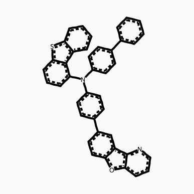 c1ccc(-c2ccc(N(c3ccc(-c4ccc5oc6cccnc6c5c4)cc3)c3cccc4sc5ccccc5c34)cc2)cc1